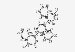 Cc1ccc(-c2ccc(-c3ccc(C)c4ccccc34)c3ccccc23)c2ccccc12